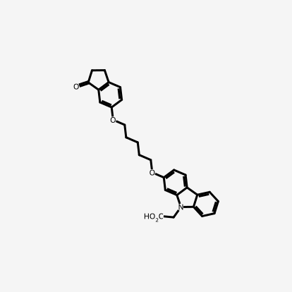 O=C(O)Cn1c2ccccc2c2ccc(OCCCCCOc3ccc4c(c3)C(=O)CC4)cc21